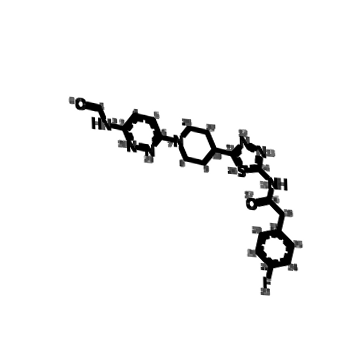 O=CNc1ccc(N2CCC(c3nnc(NC(=O)Cc4ccc(F)cc4)s3)CC2)nn1